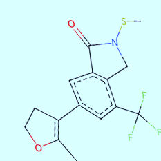 CSN1Cc2c(cc(C3=C(C)OCC3)cc2C(F)(F)F)C1=O